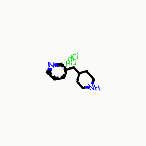 Cl.Cl.c1cncc(CC2CCNCC2)c1